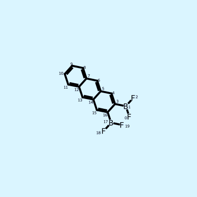 FB(F)c1cc2cc3ccccc3cc2cc1B(F)F